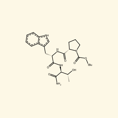 C[C@@H](O)[C@H](NC(=O)[C@H](Cc1c[nH]c2ccccc12)NC(=O)[C@@H]1CCCN1C(=O)OC(C)(C)C)C(N)=O